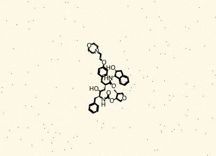 C[C@H]1COC[C@H]1OC(=O)N[C@@H](Cc1ccccc1)[C@@H](O)C[C@@H](Cc1ccc(OCCN2CCOCC2)cc1)C(=O)N[C@H]1c2ccccc2C[C@H]1O